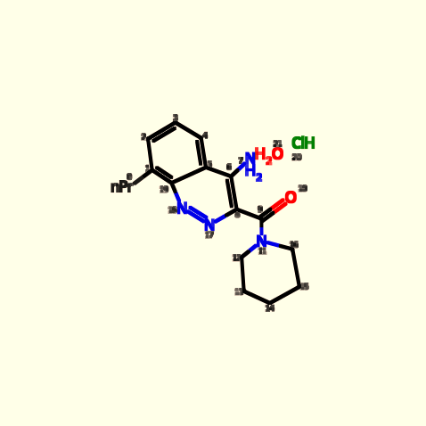 CCCc1cccc2c(N)c(C(=O)N3CCCCC3)nnc12.Cl.O